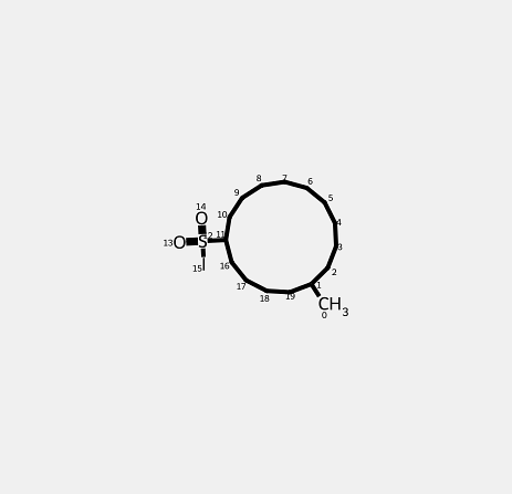 CC1CCCCCCCCCC(S(=O)(=O)I)CCCC1